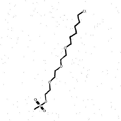 CS(=O)(=O)OCCOCCOCCOCCCCCCCl